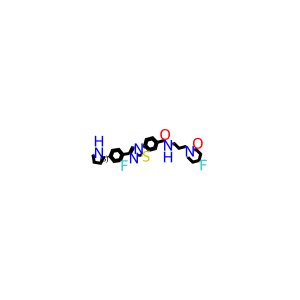 O=C(NCCCN1CCC(F)CC1=O)c1ccc2c(c1)sc1nc(-c3ccc([C@@H]4CCCN4)cc3F)cn12